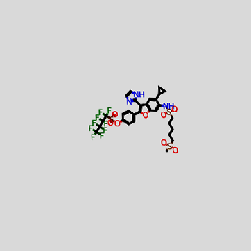 CS(=O)(=O)CCCCCS(=O)(=O)Nc1cc2oc(-c3ccc(OS(=O)(=O)C(F)(F)C(F)(F)C(F)(F)C(F)(F)F)cc3)c(-c3ncc[nH]3)c2cc1C1CC1